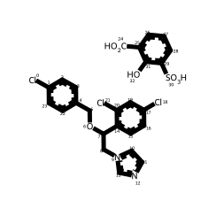 Clc1ccc(COC(Cn2ccnc2)c2ccc(Cl)cc2Cl)cc1.O=C(O)c1cccc(S(=O)(=O)O)c1O